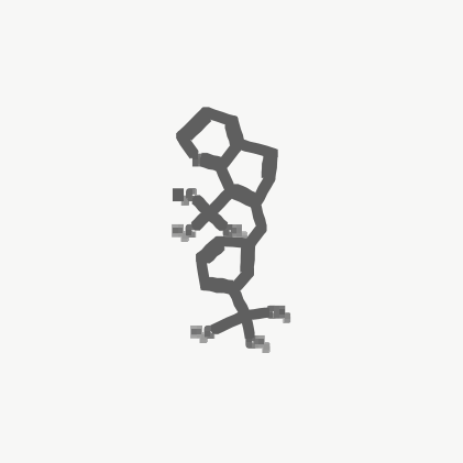 CC(C)(C)c1cccc(Cc2ccc3cccnc3c2C(C)(C)C)c1